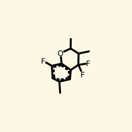 Cc1cc(F)c2c(c1)C(F)(F)C(C)C(C)O2